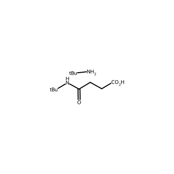 CC(C)(C)N.CC(C)(C)NC(=O)CCC(=O)O